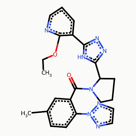 CCOc1ncccc1-c1nnc(C2CCCN2C(=O)c2cc(C)ccc2-n2nccn2)[nH]1